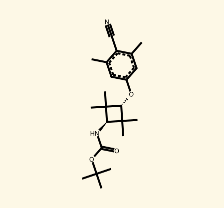 Cc1cc(O[C@H]2C(C)(C)[C@H](NC(=O)OC(C)(C)C)C2(C)C)cc(C)c1C#N